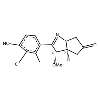 CO[C@@H]1C(c2ccc(C#N)c(Cl)c2C)=NN2CC(=O)C[C@@H]12